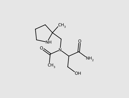 CC(=O)N(CC1(C)CCCN1)C(CO)C(N)=O